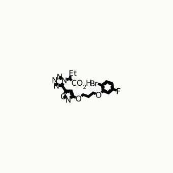 CCC(C(=O)O)n1nnnc1-c1cc(OCCCOc2cc(F)ccc2Br)no1